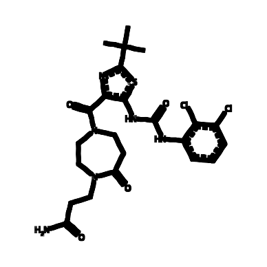 CC(C)(C)c1nc(C(=O)N2CCC(=O)N(CCC(N)=O)CC2)c(NC(=O)Nc2cccc(Cl)c2Cl)s1